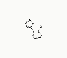 c1ccc2c(c1)OCc1ncsc1-2